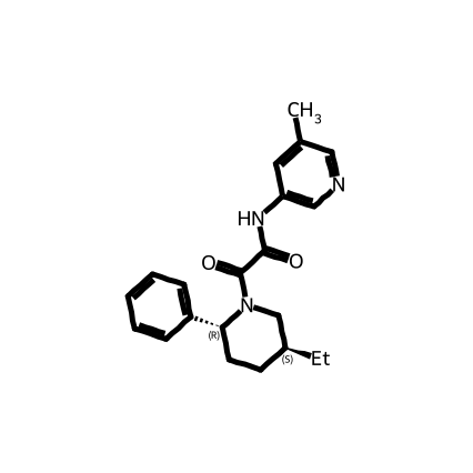 CC[C@H]1CC[C@H](c2ccccc2)N(C(=O)C(=O)Nc2cncc(C)c2)C1